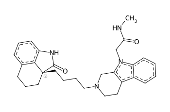 CNC(=O)Cn1c2c(c3ccccc31)CCN(CCCC[C@@]13CCCc4cccc(c41)NC3=O)C2